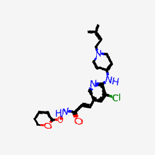 CC(C)=CCN1CCC(Nc2ncc(C=CC(=O)NOC3CCCCO3)cc2Cl)CC1